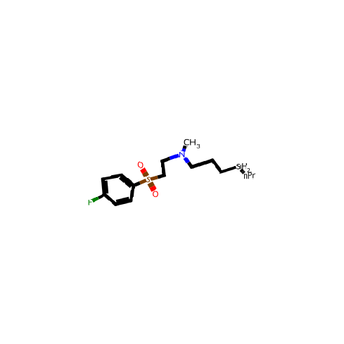 CCC[SiH2]CCCN(C)CCS(=O)(=O)c1ccc(F)cc1